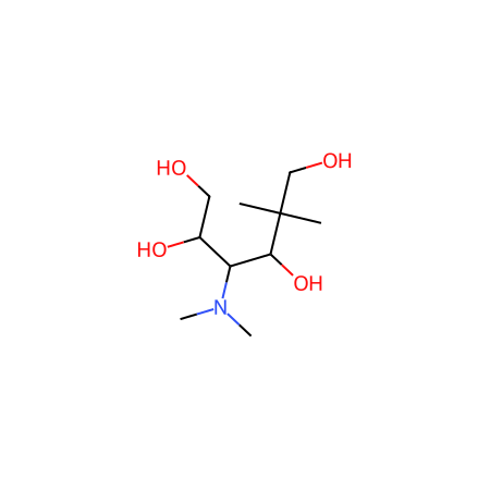 CN(C)C(C(O)CO)C(O)C(C)(C)CO